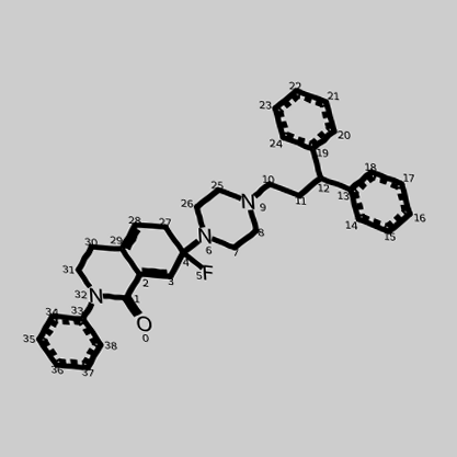 O=C1C2=CC(F)(N3CCN(CCC(c4ccccc4)c4ccccc4)CC3)CC=C2CCN1c1ccccc1